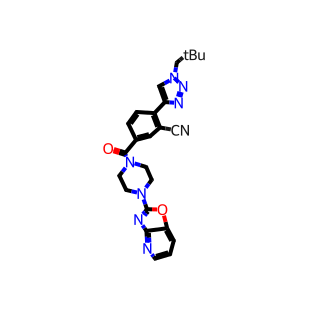 CC(C)(C)Cn1cc(-c2ccc(C(=O)N3CCN(c4nc5ncccc5o4)CC3)cc2C#N)nn1